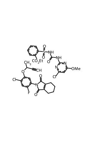 C#CC(C)Oc1cc(N2C(=O)C3=C(CCCC3)C2=O)c(F)cc1Cl.CCOC(=O)c1ccccc1S(=O)(=O)NC(=O)Nc1nc(Cl)cc(OC)n1